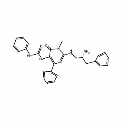 Cn1c(NC[C@H](N)Cc2ccccc2)nc(-c2ccncc2)c(NC(=O)Nc2ccccc2)c1=O